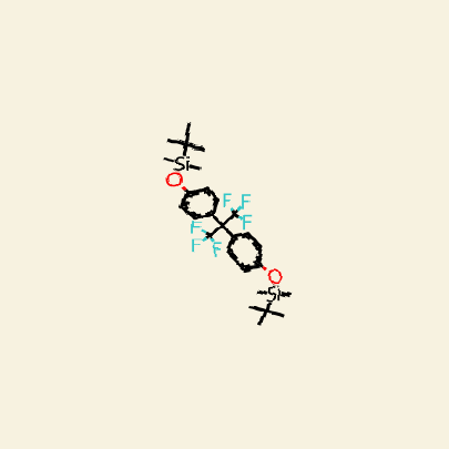 CC(C)(C)[Si](C)(C)Oc1ccc(C(c2ccc(O[Si](C)(C)C(C)(C)C)cc2)(C(F)(F)F)C(F)(F)F)cc1